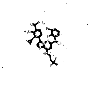 C=C(c1cc(NCCC(F)(F)F)c2ncc(-c3ccc(C(N)=O)c(C)c3C3CC3)n2n1)c1cccc(F)c1F